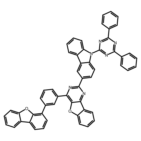 c1ccc(-c2nc(-c3ccccc3)nc(-n3c4ccccc4c4cc(-c5nc(-c6cccc(-c7cccc8c7oc7ccccc78)c6)c6oc7ccccc7c6n5)ccc43)n2)cc1